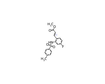 COC(=O)/C=C/c1ccc(F)cc1NS(=O)(=O)c1ccc(C)cc1